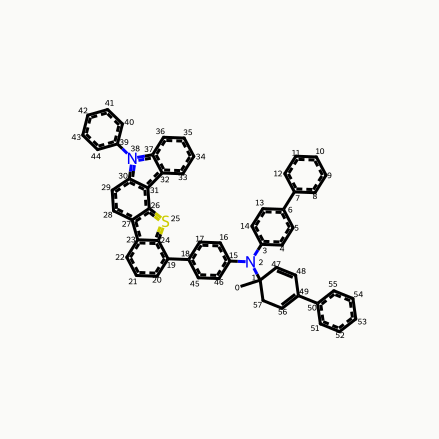 CC1(N(c2ccc(-c3ccccc3)cc2)c2ccc(-c3cccc4c3sc3c4ccc4c3c3ccccc3n4-c3ccccc3)cc2)C=CC(c2ccccc2)=CC1